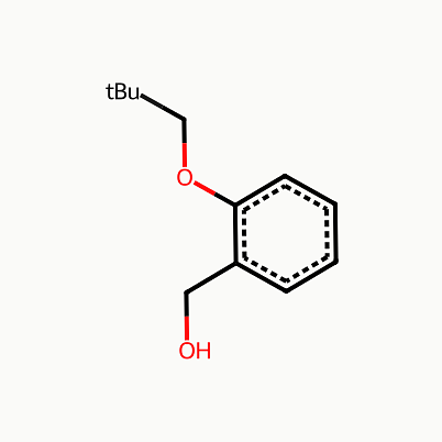 CC(C)(C)COc1ccccc1CO